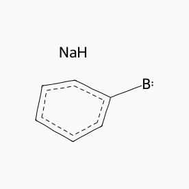 [B]c1ccccc1.[NaH]